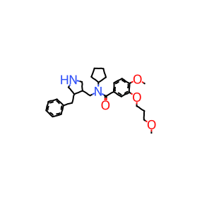 COCCCOc1cc(C(=O)N(CC2CNCC2Cc2ccccc2)C2CCCC2)ccc1OC